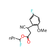 CCCC(F)OC(=O)CC(C#N)c1cc(F)ccc1OC